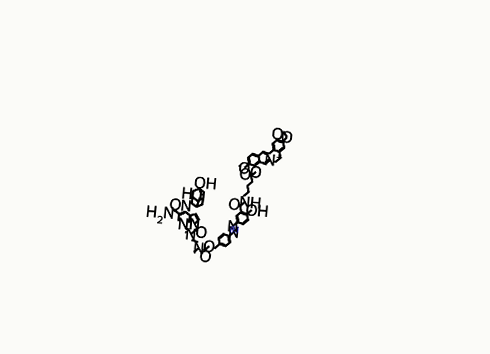 COc1ccc2cc3[n+](cc2c1OC(=O)CCCCNC(=O)c1cc(/N=N/c2ccc(COC(=O)N(C)CCN(C)C(=O)n4ccc5c(NC6C7CC8CC6CC(O)(C8)C7)c(C(N)=O)cnc54)cc2)ccc1O)CCc1cc2c(cc1-3)OCO2